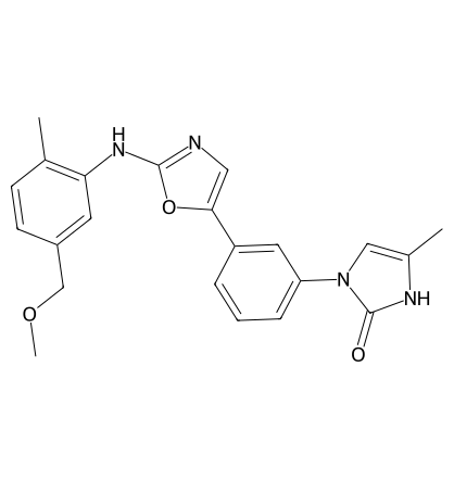 COCc1ccc(C)c(Nc2ncc(-c3cccc(-n4cc(C)[nH]c4=O)c3)o2)c1